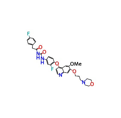 COc1cc2c(Oc3ccc(NC(=O)NC(=O)Cc4ccc(F)cc4)cc3F)ccnc2cc1OCCCN1CCOCC1